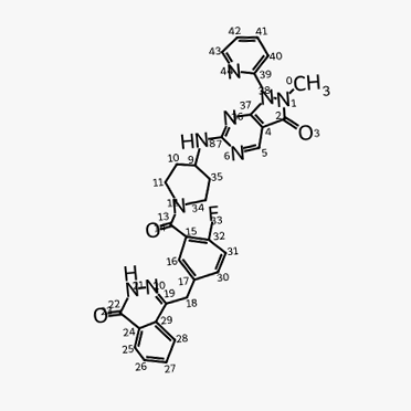 Cn1c(=O)c2cnc(NC3CCN(C(=O)c4cc(Cc5n[nH]c(=O)c6ccccc56)ccc4F)CC3)nc2n1-c1ccccn1